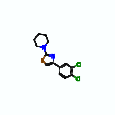 Clc1ccc(-c2csc(N3CCCCC3)n2)cc1Cl